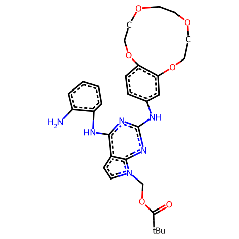 CC(C)(C)C(=O)OCn1ccc2c(Nc3ccccc3N)nc(Nc3ccc4c(c3)OCCOCCOCCO4)nc21